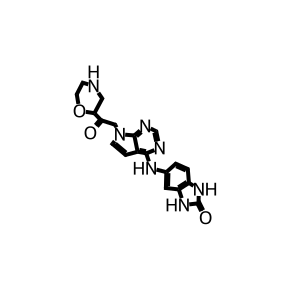 O=C(Cn1ccc2c(Nc3ccc4[nH]c(=O)[nH]c4c3)ncnc21)C1CNCCO1